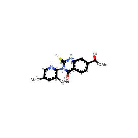 COC(=O)c1ccc2c(=O)n(-c3ncc(OC)cc3OC)c(=S)[nH]c2c1